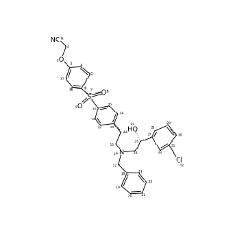 N#CCOc1ccc(S(=O)(=O)c2ccc(CCN(Cc3ccccc3)C[C@H](O)c3cccc(Cl)c3)cc2)cc1